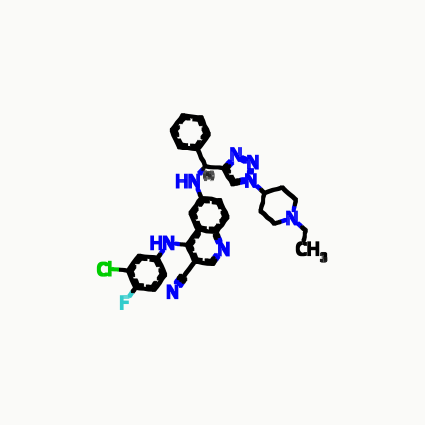 CCN1CCC(n2cc([C@@H](Nc3ccc4ncc(C#N)c(Nc5ccc(F)c(Cl)c5)c4c3)c3ccccc3)nn2)CC1